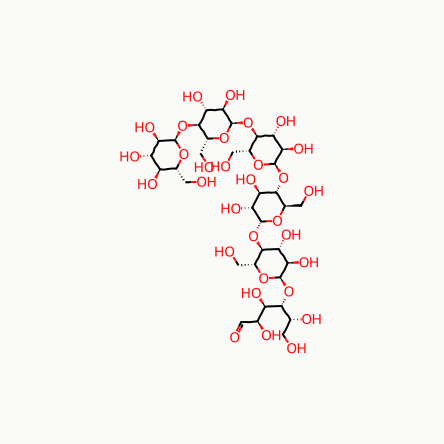 O=C[C@H](O)[C@@H](O)[C@H](O[C@H]1O[C@H](CO)[C@@H](O[C@H]2O[C@H](CO)[C@@H](O[C@H]3O[C@H](CO)[C@@H](O[C@H]4O[C@H](CO)[C@@H](O[C@H]5O[C@H](CO)[C@@H](O)[C@H](O)[C@H]5O)[C@H](O)[C@H]4O)[C@H](O)[C@H]3O)[C@H](O)[C@H]2O)[C@H](O)[C@H]1O)[C@H](O)CO